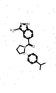 CC(C)c1ccc([C@@H]2CCCN2C(=O)c2ccc3[nH]nc(N)c3c2)cc1